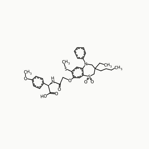 CCCCC1(CC)CN(c2ccccc2)c2cc(SC)c(OCC(=O)N[C@@H](C(=O)O)c3ccc(OC)cc3)cc2S(=O)(=O)C1